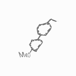 [CH]=Cc1ccc(-c2ccc(OC)cc2)cc1